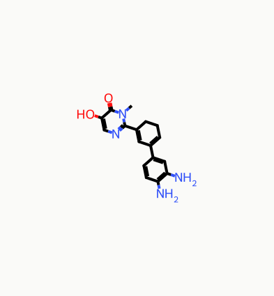 Cn1c(C2=CC(c3ccc(N)c(N)c3)=CCC2)ncc(O)c1=O